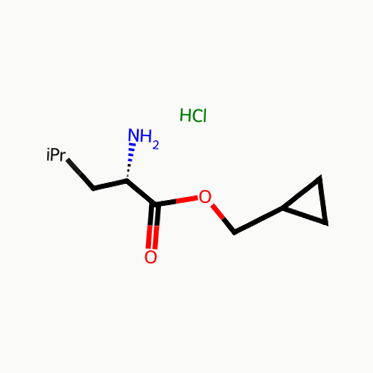 CC(C)C[C@H](N)C(=O)OCC1CC1.Cl